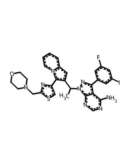 CC(c1cc2ccccn2c1-c1csc(CN2CCOCC2)n1)n1nc(-c2cc(O)cc(F)c2)c2c(N)ncnc21